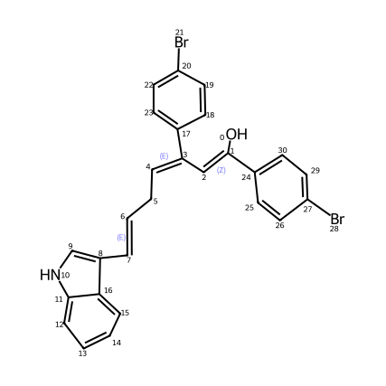 O/C(=C\C(=C/C/C=C/c1c[nH]c2ccccc12)c1ccc(Br)cc1)c1ccc(Br)cc1